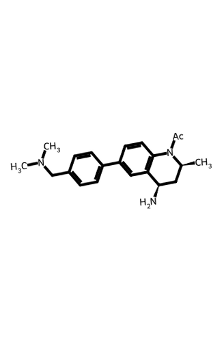 CC(=O)N1c2ccc(-c3ccc(CN(C)C)cc3)cc2[C@H](N)C[C@@H]1C